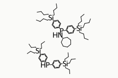 CCCC[Si](CCCC)(CCCC)c1ccc(P(NC2CCCCCC2)c2ccc([Si](CCCC)(CCCC)CCCC)cc2)cc1.CCC[Si](CCC)(CCC)c1ccc(Pc2ccc([Si](CCC)(CCC)CCC)cc2)cc1